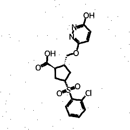 O=C(O)[C@@H]1CC(S(=O)(=O)c2ccccc2Cl)C[C@H]1COc1ccc(O)nn1